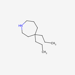 CCCC1(CCC)CCCNCC1